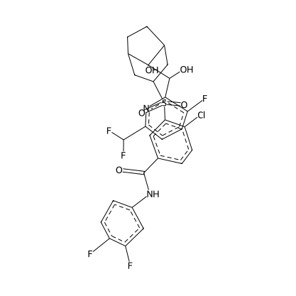 O=C(Nc1ccc(F)c(F)c1)c1ccc(Cl)c(S(=O)(=O)C2CC3CCC(C2)C3(O)C(O)c2nc(C(F)F)ccc2F)c1